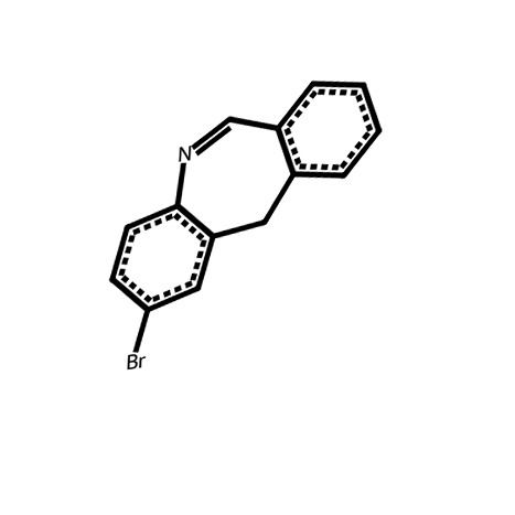 Brc1ccc2c(c1)Cc1ccccc1C=N2